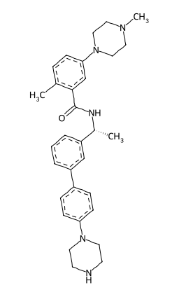 Cc1ccc(N2CCN(C)CC2)cc1C(=O)N[C@H](C)c1cccc(-c2ccc(N3CCNCC3)cc2)c1